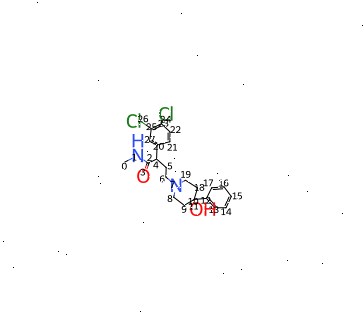 CNC(=O)C(CCN1CCC(O)(c2ccccc2)CC1)c1ccc(Cl)c(Cl)c1